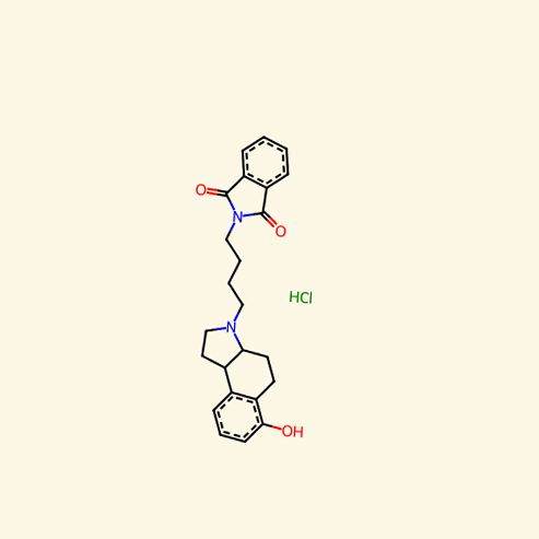 Cl.O=C1c2ccccc2C(=O)N1CCCCN1CCC2c3cccc(O)c3CCC21